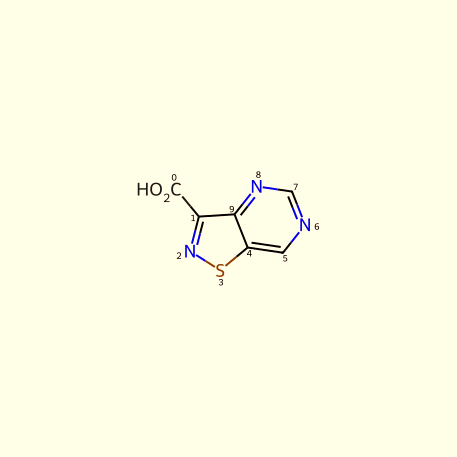 O=C(O)c1nsc2cncnc12